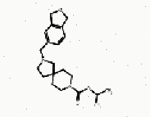 O=C(OC(C(F)(F)F)C(F)(F)F)N1CCC2(CCN(Cc3ccc4c(c3)COC4)C2)CC1